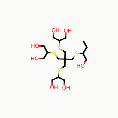 CCC(CO)SCC(CSC(CO)CO)(CSC(CO)CO)CSC(CO)CO